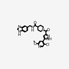 COc1cc(-c2cc(C(=O)N3CCC(C(=O)NCc4ccc5[nH]cnc5c4)CC3)n[nH]2)c(Cl)cn1